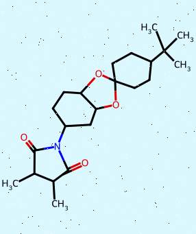 CC1C(=O)N(C2CCC3OC4(CCC(C(C)(C)C)CC4)OC3C2)C(=O)C1C